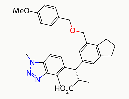 COc1ccc(COCc2cc([C@@H](c3ccc4c(nnn4C)c3C)C(C)C(=O)O)cc3c2CCC3)cc1